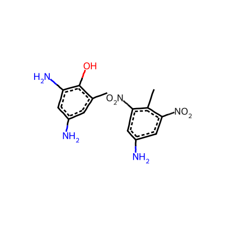 Cc1c([N+](=O)[O-])cc(N)cc1[N+](=O)[O-].Cc1cc(N)cc(N)c1O